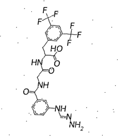 NN=CNc1cccc(C(=O)NCC(=O)NC(Cc2cc(C(F)(F)F)cc(C(F)(F)F)c2)C(=O)O)c1